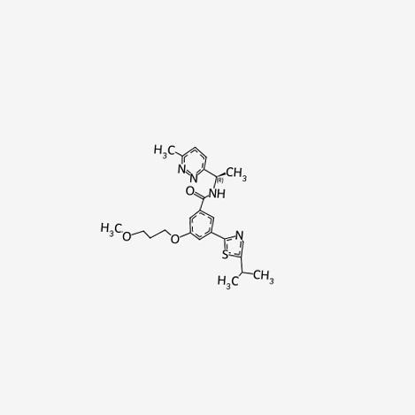 COCCCOc1cc(C(=O)N[C@H](C)c2ccc(C)nn2)cc(-c2ncc(C(C)C)s2)c1